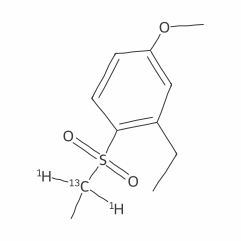 [1H][13C]([1H])(C)S(=O)(=O)c1ccc(OC)cc1CC